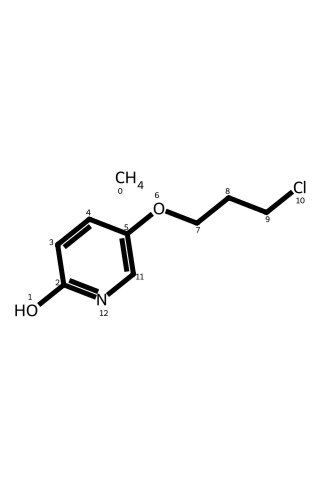 C.Oc1ccc(OCCCCl)cn1